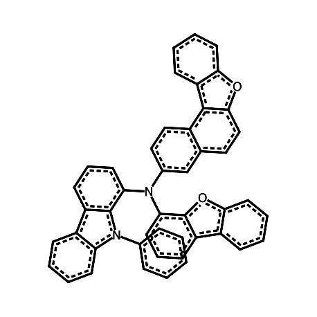 c1ccc(-n2c3ccccc3c3cccc(N(c4ccc5c(ccc6oc7ccccc7c65)c4)c4cccc5c4oc4ccccc45)c32)cc1